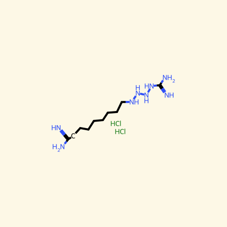 Cl.Cl.N=C(N)CCCCCCCCNNNNC(=N)N